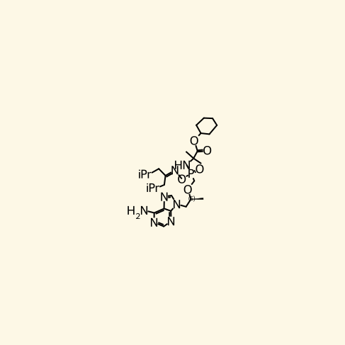 CC(C)CC(CC(C)C)=NOP(=O)(CO[C@@H](C)Cn1cnc2c(N)ncnc21)NC(C)(C)C(=O)OC1CCCCC1